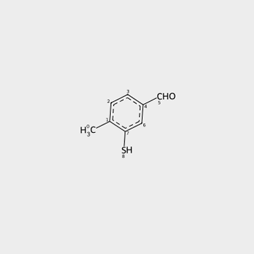 Cc1ccc(C=O)cc1S